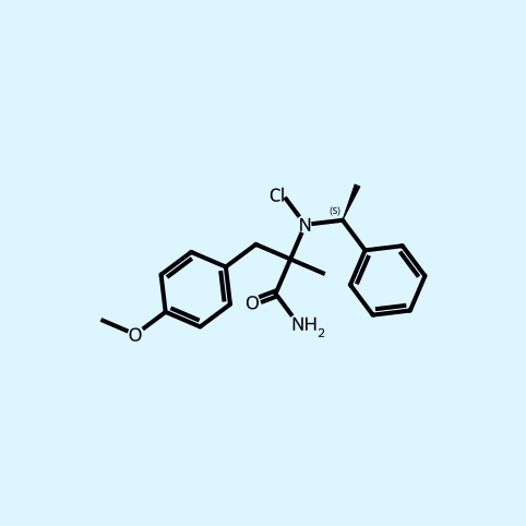 COc1ccc(CC(C)(C(N)=O)N(Cl)[C@@H](C)c2ccccc2)cc1